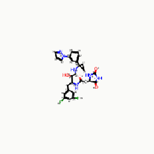 O=C(CC1NC(=O)NC1=O)NC(Cc1cc(F)cc(F)c1)C(O)CNC1(c2cccc(-n3cccn3)c2)CC1